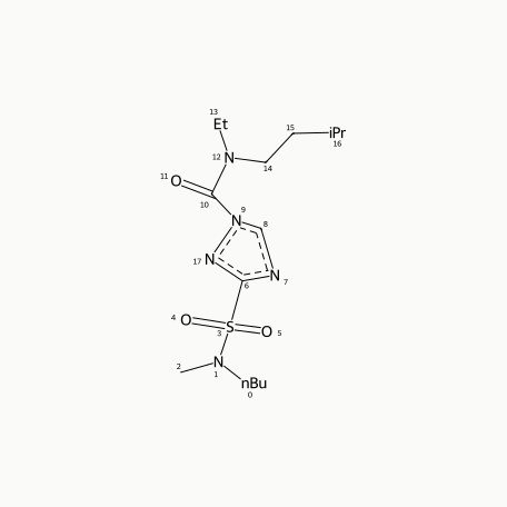 CCCCN(C)S(=O)(=O)c1ncn(C(=O)N(CC)CCC(C)C)n1